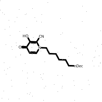 CCCCCCCCCCCCCCCCn1ccc(=O)c(O)c1C#N